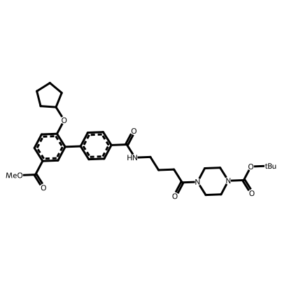 COC(=O)c1ccc(OC2CCCC2)c(-c2ccc(C(=O)NCCCC(=O)N3CCN(C(=O)OC(C)(C)C)CC3)cc2)c1